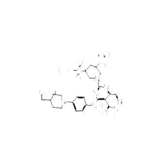 CS(=O)(=O)C1CC(S(C)(=O)=O)CN(c2nc(Nc3ccc(N4CCC(CC(=O)O)CC4)cc3)c3c(=O)[nH]ncc3n2)C1